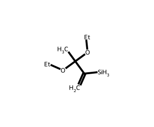 C=C([SiH3])C(C)(OCC)OCC